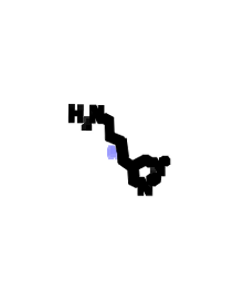 CN1C=NC=C(/C=C/CCN)C1